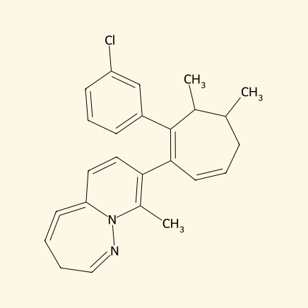 CC1=C(C2=C(c3cccc(Cl)c3)C(C)C(C)CC=C2)C=CC2=C=CCC=NN21